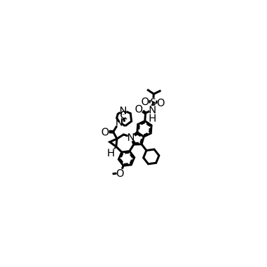 COc1ccc2c(c1)[C@@H]1CC1(C(=O)N1CCN3CCC1CC3)Cn1c-2c(C2CCCCC2)c2ccc(C(=O)NS(=O)(=O)C(C)C)cc21